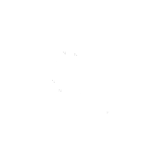 Brc1ccc(-c2nnc(Cn3cccn3)o2)cc1